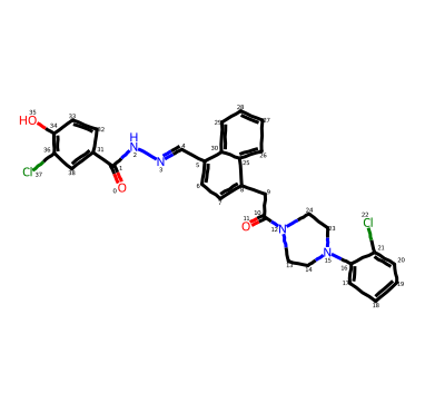 O=C(N/N=C/c1ccc(CC(=O)N2CCN(c3ccccc3Cl)CC2)c2ccccc12)c1ccc(O)c(Cl)c1